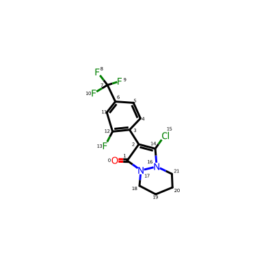 O=c1c(-c2ccc(C(F)(F)F)cc2F)c(Cl)n2n1CCCC2